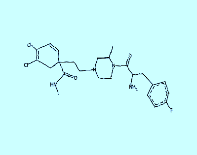 CNC(=O)C1(CCN2CCN(C(=O)C(N)Cc3ccc(F)cc3)C(C)C2)C=CC(Cl)=C(Cl)C1